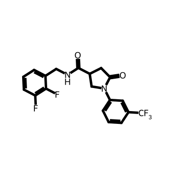 O=C(NCc1cccc(F)c1F)C1CC(=O)N(c2cccc(C(F)(F)F)c2)C1